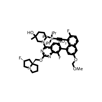 COCOc1cc(-c2c([N+](=O)[O-])cc3c(N4CCCC(C)(O)C4)nc(OC[C@@]45CCCN4C[C@H](F)C5)nc3c2F)c2c(C#C[Si](C(C)C)(C(C)C)C(C)C)c(F)ccc2c1